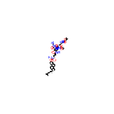 CC(C)CCC[C@@H](C)[C@H]1CCC2C3CC=C4CC(OC(=O)NCCCC(=O)N[C@H]5C[C@@H](C(=O)NCCN(C)C)N(C(=O)[C@@H](CCCCNC(=O)OC(C)(C)C)NC(=O)OC(C)(C)C)C5)CC[C@]4(C)C3CC[C@@]21C